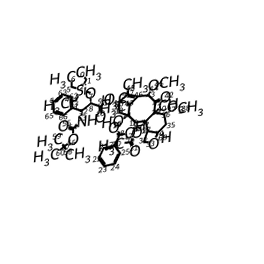 CC[Si](CC)(CC)O[C@@H](C(=O)O[C@H]1C[C@@]2(O)[C@@H](OC(=O)c3ccccc3)[C@@H]3[C@]4(OC(C)=O)CO[C@@H]4C[C@H](OC)[C@@]3(C)C(=O)[C@H](OC)C(=C1C)C2(C)C)[C@@H](NC(=O)OC(C)(C)C)c1ccccc1